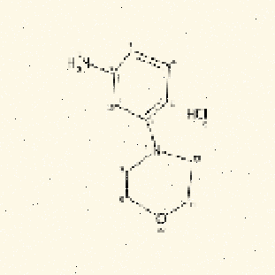 Cl.Nc1cccc(N2CCOCC2)c1